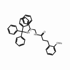 COc1ccccc1CCC(=O)NC[C@@H](NC(c1ccccc1)(c1ccccc1)c1ccccc1)c1ccccc1